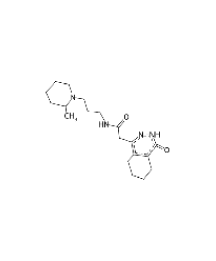 CC1CCCCN1CCCNC(=O)Cc1n[nH]c(=O)c2c1CCCC2